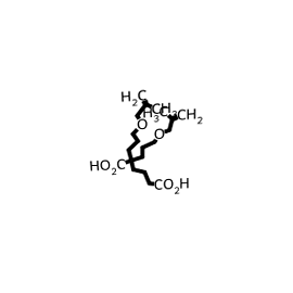 C=C(C)COCCCC(CCCOCC(=C)C)(CCCC(=O)O)C(=O)O